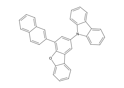 c1ccc2cc(-c3cc(-n4c5ccccc5c5ccccc54)cc4c3oc3ccccc34)ccc2c1